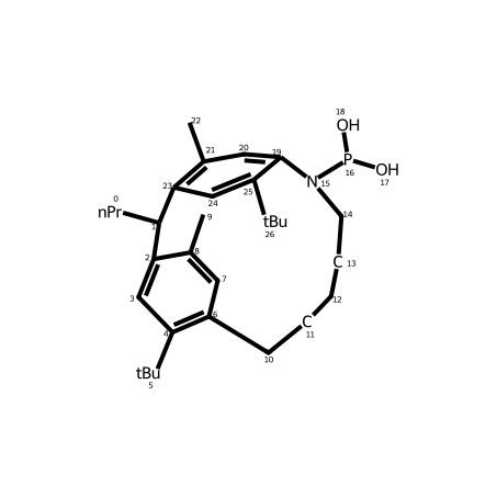 CCCC1c2cc(C(C)(C)C)c(cc2C)CCCCCN(P(O)O)c2cc(C)c1cc2C(C)(C)C